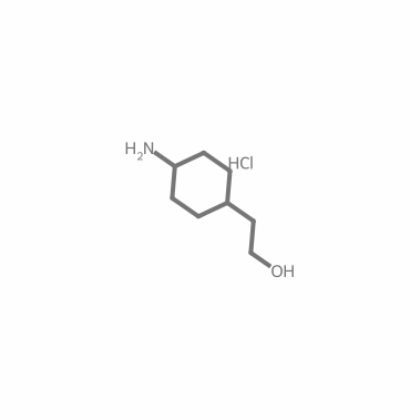 Cl.NC1CCC(CCO)CC1